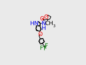 CC1(C(=O)Nc2c[nH]c3ccc(OCc4ccc(C(F)(F)F)cc4)cc23)CCCO1